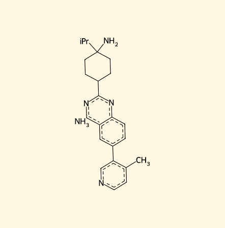 Cc1ccncc1-c1ccc2nc(C3CCC(N)(C(C)C)CC3)ncc2c1.N